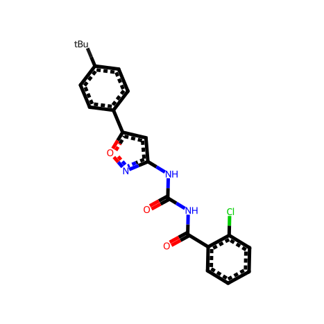 CC(C)(C)c1ccc(-c2cc(NC(=O)NC(=O)c3ccccc3Cl)no2)cc1